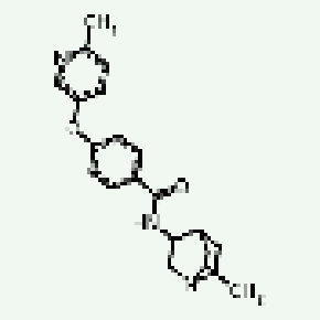 Cc1ccc(Oc2ccc(C(=O)NC3CN4CCC3CC4C)cc2)cn1